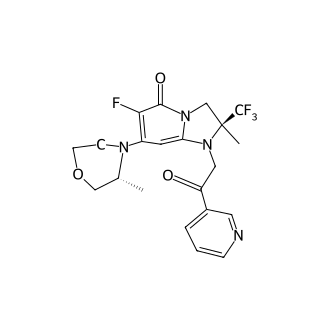 C[C@@H]1COCCN1c1cc2n(c(=O)c1F)C[C@@](C)(C(F)(F)F)N2CC(=O)c1cccnc1